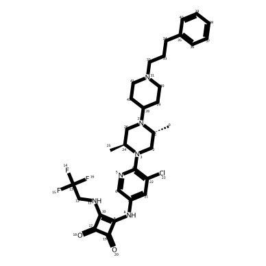 C[C@@H]1CN(c2ncc(Nc3c(NCC(F)(F)F)c(=O)c3=O)cc2Cl)[C@@H](C)CN1C1CCN(CCCc2ccccc2)CC1